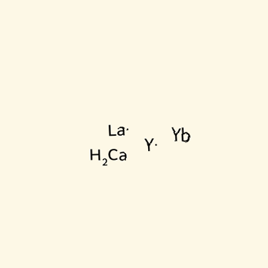 [CaH2].[La].[Y].[Yb]